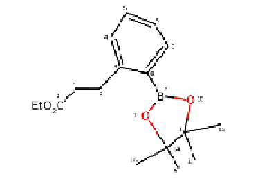 CCOC(=O)CCc1ccccc1B1OC(C)(C)C(C)(C)O1